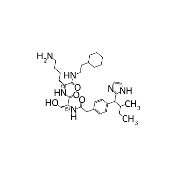 CCC(C)C(c1ccc(CC(=O)N[C@@H](CO)C(=O)N[C@@H](CCCCN)C(=O)NCCC2CCCCC2)cc1)c1ncc[nH]1